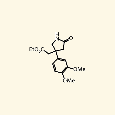 CCOC(=O)CC1(c2ccc(OC)c(OC)c2)CNC(=O)C1